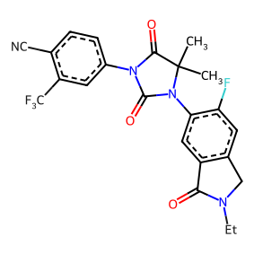 CCN1Cc2cc(F)c(N3C(=O)N(c4ccc(C#N)c(C(F)(F)F)c4)C(=O)C3(C)C)cc2C1=O